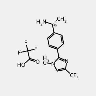 C[C@@H](N)c1ccc(-c2nc(C(F)(F)F)cn2C)cc1.O=C(O)C(F)(F)F